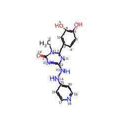 Cn1c(-c2ccc(O)c(O)c2)nc(NNc2ccncc2)nc1=O